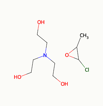 CC1OC1Cl.OCCN(CCO)CCO